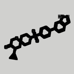 O=C1COC2(CCN(S(=O)(=O)c3ccc(-c4ccc5cn[nH]c5c4)cc3)CC2)CN1C1CC1